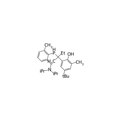 CCC(C)(Pc1c(C)cccc1CN(C(C)C)C(C)C)c1cc(C(C)(C)C)cc(C)c1O